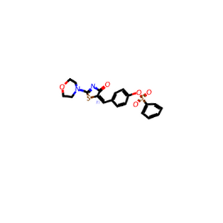 O=C1N=C(N2CCOCC2)S/C1=C/c1ccc(OS(=O)(=O)c2ccccc2)cc1